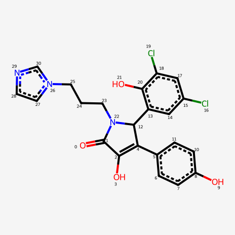 O=C1C(O)=C(c2ccc(O)cc2)C(c2cc(Cl)cc(Cl)c2O)N1CCCn1ccnc1